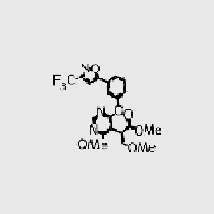 COC=C(C(=O)OC)c1c(OC)ncnc1Oc1cccc(-c2cc(C(F)(F)F)no2)c1